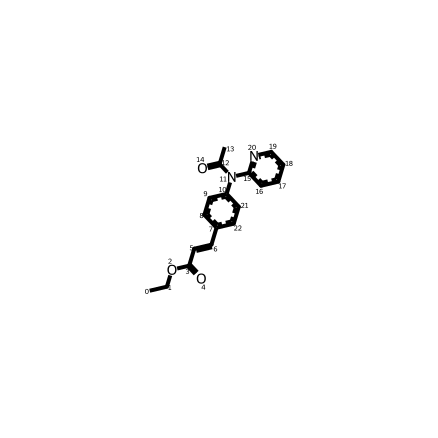 CCOC(=O)C=Cc1ccc(N(C(C)=O)c2ccccn2)cc1